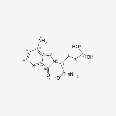 NC(=O)C(CCC(O)O)N1Cc2c(N)cccc2C1=O